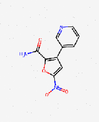 NC(=O)c1oc([N+](=O)[O-])cc1-c1cccnc1